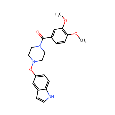 COc1ccc(C(=O)N2CCN(Oc3ccc4[nH]ccc4c3)CC2)cc1OC